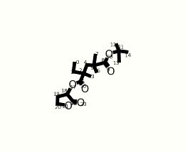 CCC(C)(CC(C)(C)C(=O)OC(C)(C)C)C(=O)OC1CCOC1=O